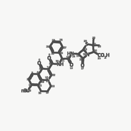 CCCCc1ccc2c(=O)c(C(=O)NC(C(=O)NC3C(=O)N4C3SC(C)(C)C4C(=O)O)c3ccccc3)cn3c2c1CCC3